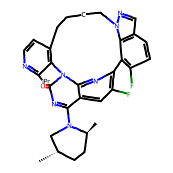 CC(C)c1nccc2c1-n1c(=O)nc(N3C[C@@H](C)CC[C@@H]3C)c3cc(F)c(nc31)-c1c(F)ccc3cnn(c13)CCCC2